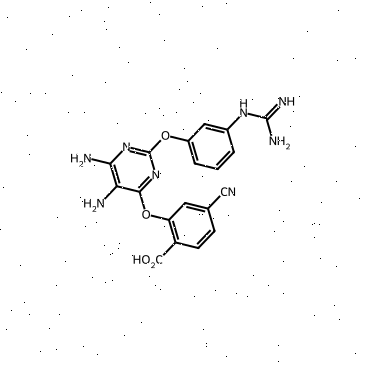 N#Cc1ccc(C(=O)O)c(Oc2nc(Oc3cccc(NC(=N)N)c3)nc(N)c2N)c1